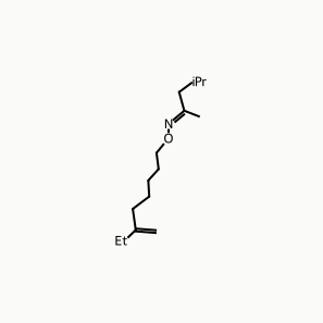 C=C(CC)CCCCCO/N=C(\C)CC(C)C